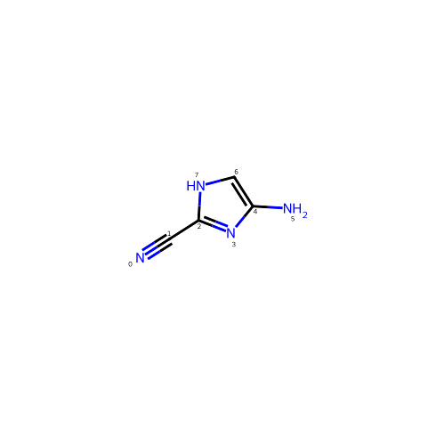 N#Cc1nc(N)c[nH]1